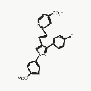 COc1ccc(-n2cc(C=Cc3cc(C(=O)O)ccn3)c(-c3ccc(F)cc3)n2)cc1